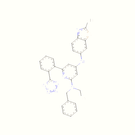 Cc1nc2ccc(Nc3cc(-c4ccccc4-c4nnn[nH]4)nc(N(Cc4ccccc4)CC(C)C)c3)cc2s1